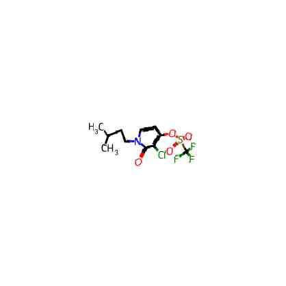 CC(C)CCn1ccc(OS(=O)(=O)C(F)(F)F)c(Cl)c1=O